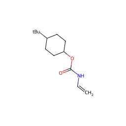 C=CNC(=O)OC1CCC(C(C)(C)C)CC1